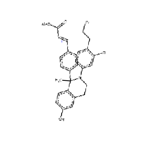 COC(=O)/C=C/c1ccc(C2(C)c3ccc(O)cc3CCN2c2ccc(CCC(C)C)c(Cl)c2)cc1